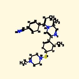 C=C1C=NC(C2=CCC(SN3CCN(C)CC3)C[C@H]2C)=CN1/C(=C\C)C1C=CC(C#N)=CC1